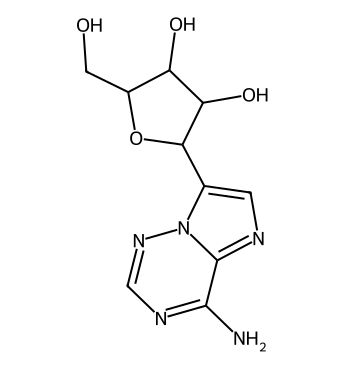 Nc1ncnn2c(C3OC(CO)C(O)C3O)cnc12